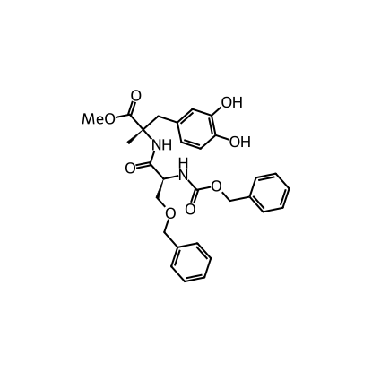 COC(=O)[C@](C)(Cc1ccc(O)c(O)c1)NC(=O)[C@H](COCc1ccccc1)NC(=O)OCc1ccccc1